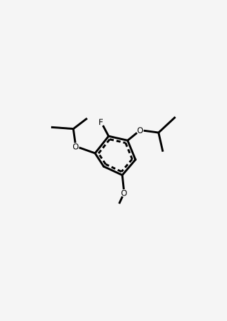 COc1cc(OC(C)C)c(F)c(OC(C)C)c1